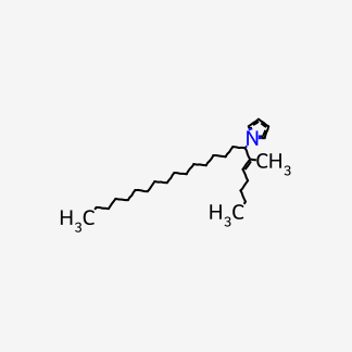 CCCC/C=C(\C)C(CCCCCCCCCCCCCCCC)n1cccc1